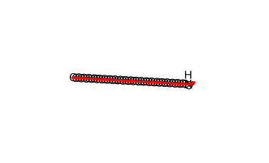 COCCOCCOCCOCCOCCOCCOCCOCCOCCOCCOCCOCCOCCOCCOCCOCCOCCOCCOCCOCCOCCOCCOCCOCCOCCOCCOCCOCCOCCOCCOCCOCCOCCOCCOCCOCCOCCOCCOCCOCCOCCOCCOCCOCCNC(=O)CCc1ccc(C)cc1